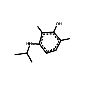 Cc1ccc(NC(C)C)c(C)c1O